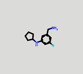 NCc1cc(F)cc(NC2CCCC2)c1